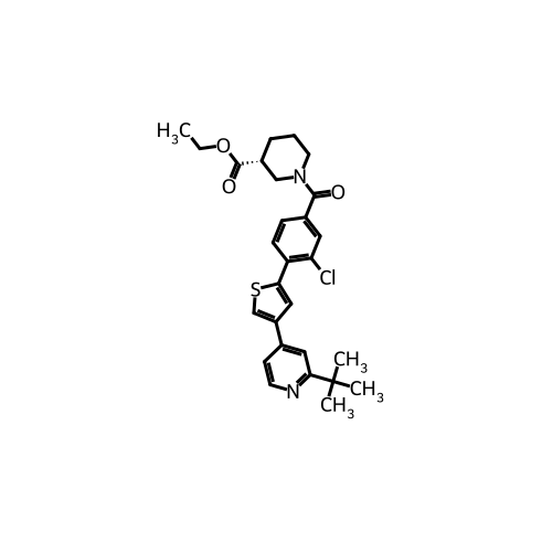 CCOC(=O)[C@@H]1CCCN(C(=O)c2ccc(-c3cc(-c4ccnc(C(C)(C)C)c4)cs3)c(Cl)c2)C1